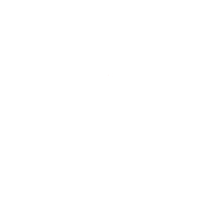 CC1=CCC(Cc2cc(C)c(C)cc2C)CO1